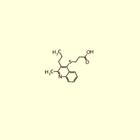 CCCc1c(C)nc2ccccc2c1SCCC(=O)O